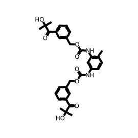 Cc1ccc(NC(=O)OCc2cccc(C(=O)C(C)(C)O)c2)cc1NC(=O)OCc1cccc(C(=O)C(C)(C)O)c1